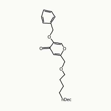 CCCCCCCCCCCCCCOCc1cc(=O)c(OCc2ccccc2)co1